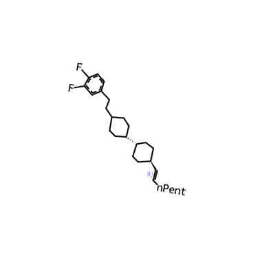 CCCCC/C=C/[C@H]1CC[C@H](C2CCC(CCc3ccc(F)c(F)c3)CC2)CC1